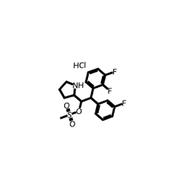 CS(=O)(=O)OC(C1CCCN1)C(c1cccc(F)c1)c1cccc(F)c1F.Cl